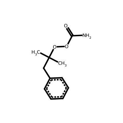 CC(C)(Cc1ccccc1)OOC(N)=O